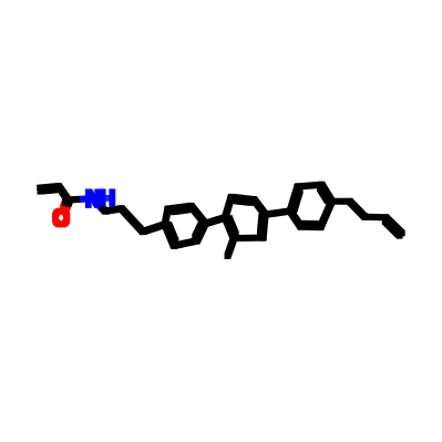 C=CCCc1ccc(-c2ccc(-c3ccc(CCCNC(=O)C=C)cc3)c(C)c2)cc1